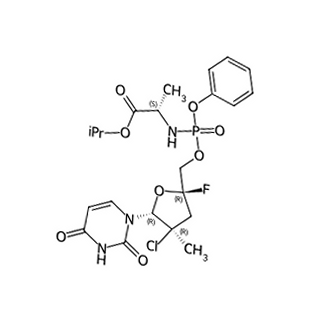 CC(C)OC(=O)[C@H](C)NP(=O)(OC[C@]1(F)C[C@@](C)(Cl)[C@H](n2ccc(=O)[nH]c2=O)O1)Oc1ccccc1